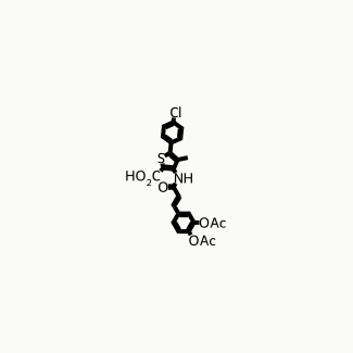 CC(=O)Oc1ccc(C=CC(=O)Nc2c(C(=O)O)sc(-c3ccc(Cl)cc3)c2C)cc1OC(C)=O